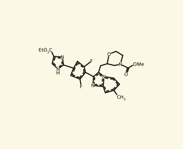 CCOC(=O)c1c[nH]c(-c2cc(F)c(-c3nc4cc(C)ccn4c3CC3CN(C(=O)OC)CCO3)c(F)c2)n1